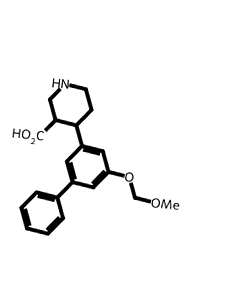 COCOc1cc(-c2ccccc2)cc(C2CCNCC2C(=O)O)c1